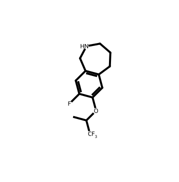 CC(Oc1cc2c(cc1F)CNCCC2)C(F)(F)F